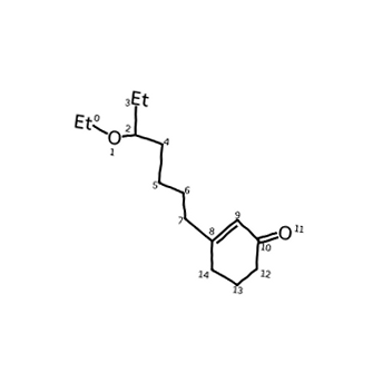 CCOC(CC)CCCCC1=CC(=O)CCC1